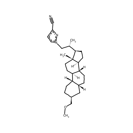 COC[C@H]1CC[C@H]2[C@H](CC[C@@H]3[C@@H]2CC[C@]2(C)[C@@H]([C@@H](C)Cn4ccc(C#N)n4)CC[C@@H]32)C1